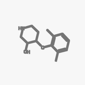 Cc1cccc(C)c1OC1CCNCC1O